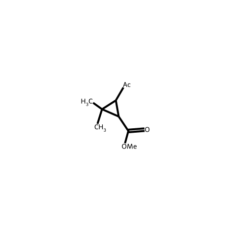 COC(=O)C1C(C(C)=O)C1(C)C